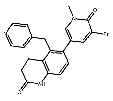 CCc1cc(-c2ccc3c(c2Cc2ccncc2)CCC(=O)N3)cn(C)c1=O